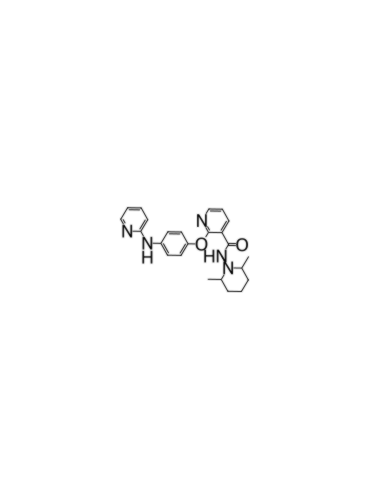 CC1CCCC(C)N1NC(=O)c1cccnc1Oc1ccc(Nc2ccccn2)cc1